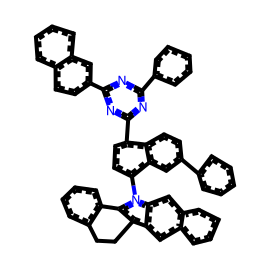 c1ccc(-c2ccc3c(-c4nc(-c5ccccc5)nc(-c5ccc6ccccc6c5)n4)ccc(-n4c5c(c6cc7ccccc7cc64)CCc4ccccc4-5)c3c2)cc1